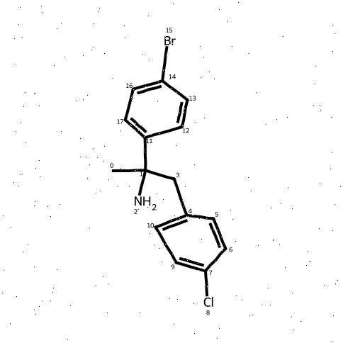 CC(N)(Cc1ccc(Cl)cc1)c1ccc(Br)cc1